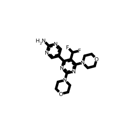 Nc1ncc(-c2nc(N3CCOCC3)nc(N3CCOCC3)c2C(F)F)cn1